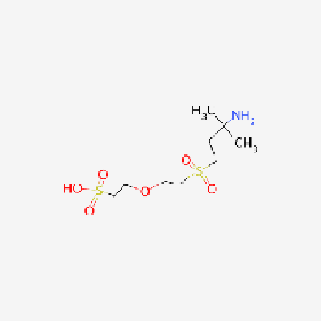 CC(C)(N)CCS(=O)(=O)CCOCCS(=O)(=O)O